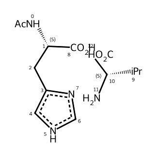 CC(=O)N[C@@H](Cc1c[nH]cn1)C(=O)O.CC(C)[C@H](N)C(=O)O